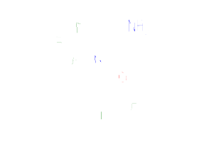 Nc1cc(OCC(F)F)nc(C(F)(F)F)c1